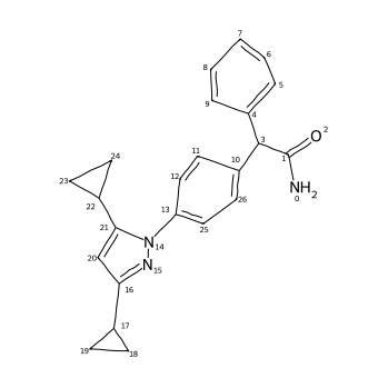 NC(=O)C(c1ccccc1)c1ccc(-n2nc(C3CC3)cc2C2CC2)cc1